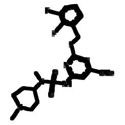 COc1cc(NS(=O)(=O)N(C)C2CCN(C)CC2)nc(SCc2cccc(F)c2F)n1